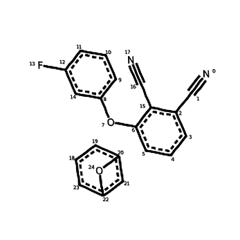 N#Cc1cccc(Oc2cccc(F)c2)c1C#N.c1cc2cc(c1)O2